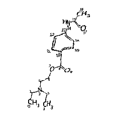 CCN(CC)CCOC(=O)c1ccc(NC(C)=O)cc1